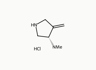 C=C1CNC[C@H]1NC.Cl